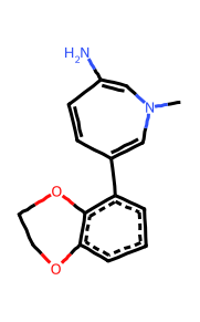 CN1C=C(N)C=CC(c2cccc3c2OCCO3)=C1